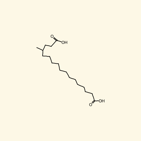 CC(CCCCCCCCCCCCC(=O)O)CCC(=O)O